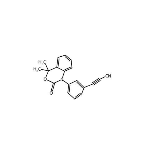 CC1(C)OC(=O)N(c2cccc(C#CC#N)c2)c2ccccc21